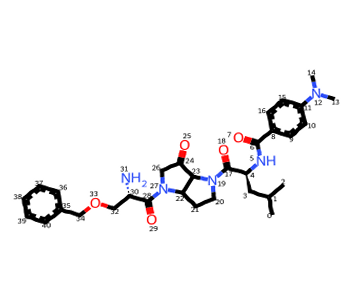 CC(C)C[C@H](NC(=O)c1ccc(N(C)C)cc1)C(=O)N1CCC2C1C(=O)CN2C(=O)[C@@H](N)COCc1ccccc1